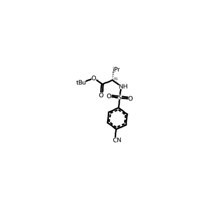 CC(C)[C@H](NS(=O)(=O)c1ccc(C#N)cc1)C(=O)OC(C)(C)C